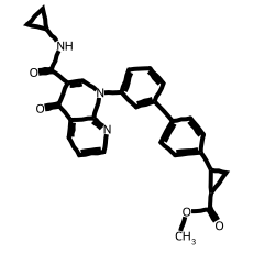 COC(=O)C1CC1c1ccc(-c2cccc(-n3cc(C(=O)NC4CC4)c(=O)c4cccnc43)c2)cc1